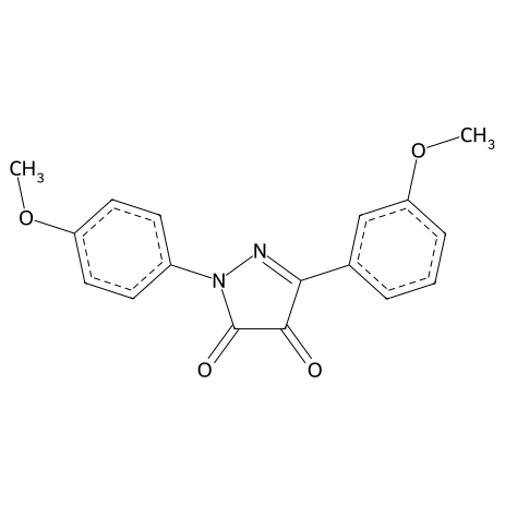 COc1ccc(N2N=C(c3cccc(OC)c3)C(=O)C2=O)cc1